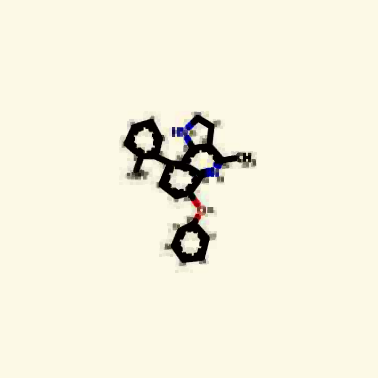 CCCc1ccccc1-c1ccc(Oc2ccccc2)c2nc(C)c3c(c12)NCC3